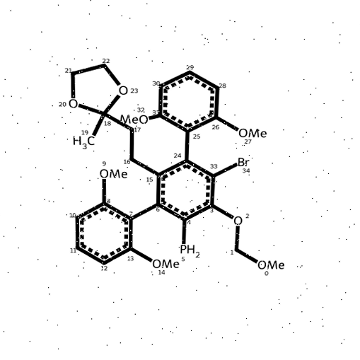 COCOc1c(P)c(-c2c(OC)cccc2OC)c(CCC2(C)OCCO2)c(-c2c(OC)cccc2OC)c1Br